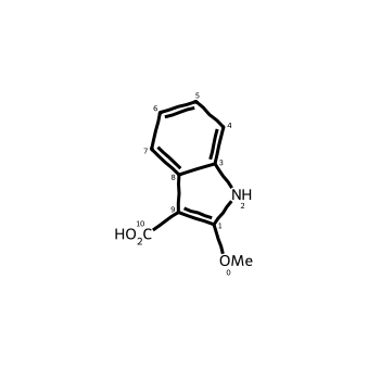 COc1[nH]c2ccccc2c1C(=O)O